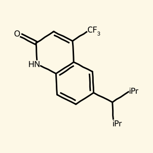 CC(C)C(c1ccc2[nH]c(=O)cc(C(F)(F)F)c2c1)C(C)C